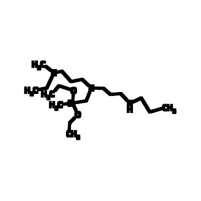 CCCNCCCN(CCCN(C)CC)C[Si](C)(OCC)OCC